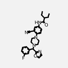 CCC(CC)C(=O)Nc1ccc(N2CCN(C(c3cccc(F)c3)c3ncco3)CC2)c(C#N)c1